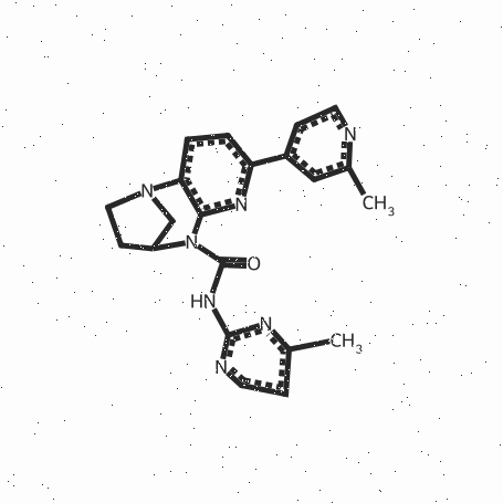 Cc1cc(-c2ccc3c(n2)N(C(=O)Nc2nccc(C)n2)C2CCN3C2)ccn1